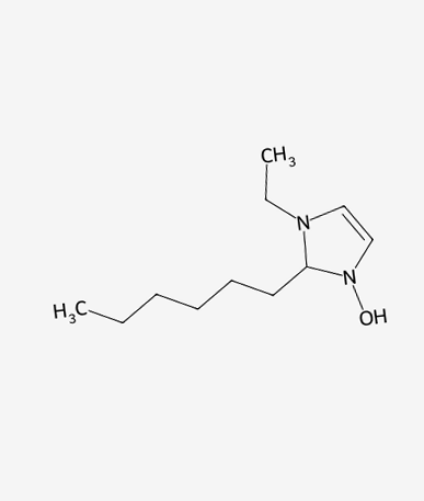 CCCCCCC1N(O)C=CN1CC